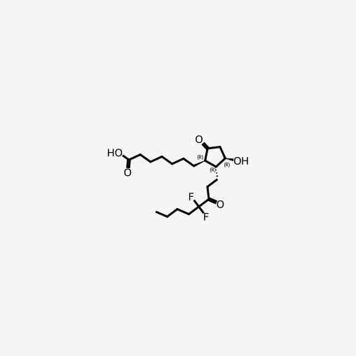 CCCCC(F)(F)C(=O)CC[C@H]1[C@H](O)CC(=O)[C@@H]1CCCCCCC(=O)O